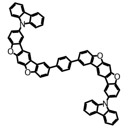 c1ccc2c(c1)c1ccccc1n2-c1ccc2oc3cc4oc5ccc(-c6ccc(-c7ccc8oc9cc%10oc%11ccc(-n%12c%13ccccc%13c%13ccccc%13%12)cc%11c%10cc9c8c7)cc6)cc5c4cc3c2c1